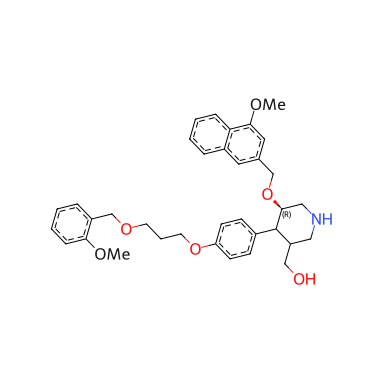 COc1ccccc1COCCCOc1ccc(C2C(CO)CNC[C@@H]2OCc2cc(OC)c3ccccc3c2)cc1